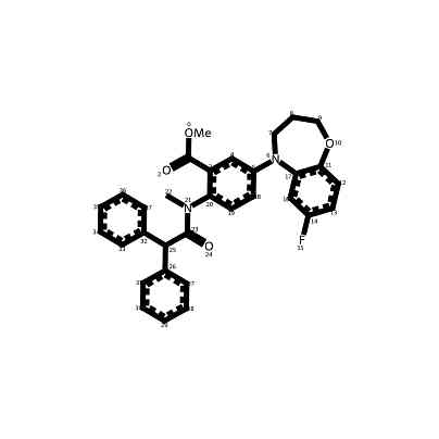 COC(=O)c1cc(N2CCCOc3ccc(F)cc32)ccc1N(C)C(=O)C(c1ccccc1)c1ccccc1